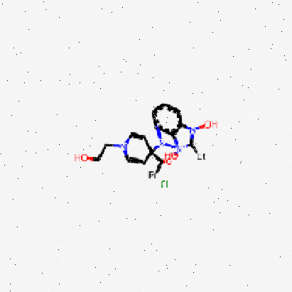 CCC1N(O)c2ccc3cc2[N+]1(O)N3C1(C(=O)C(C)C)C=CN(CCO)C=C1.[Cl-]